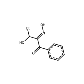 CCC(O)C(=NO)C(=O)c1ccccc1